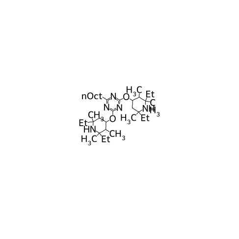 CCCCCCCCc1nc(OC2CC(C)(CC)NC(C)(CC)C2C)nc(OC2CC(C)(CC)NC(C)(CC)C2C)n1